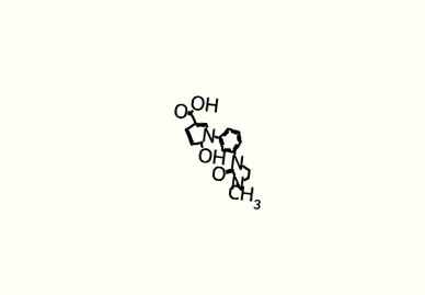 CN1CCN(c2cccc(N3C=C(C(=O)O)C=CC3O)c2)C1=O